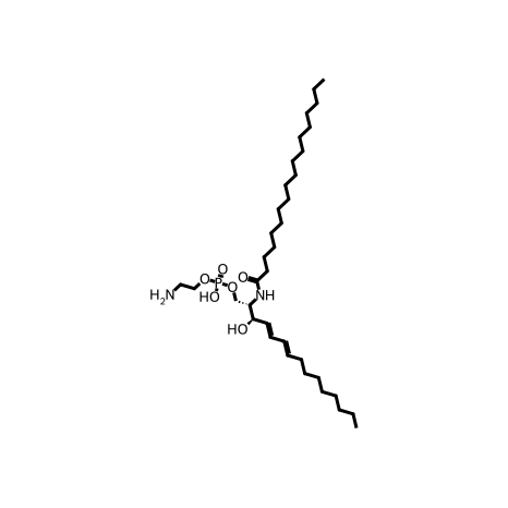 CCCCCCCC/C=C/C=C/[C@@H](O)[C@H](COP(=O)(O)OCCN)NC(=O)CCCCCCCCCCCCCCCCC